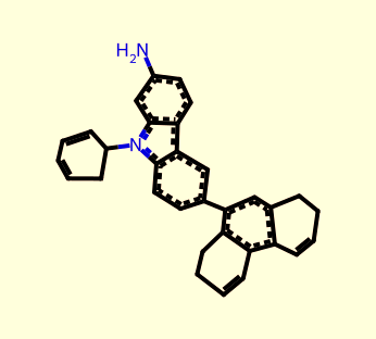 Nc1ccc2c3cc(-c4cc5c(c6c4CCC=C6)C=CCC5)ccc3n(C3C=CC=CC3)c2c1